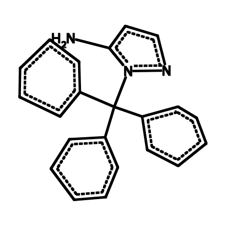 Nc1ccnn1C(c1ccccc1)(c1ccccc1)c1ccccc1